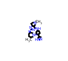 CC1CC/C(=N/c2nc3c(c(Nc4ccc(-c5cn[nH]c5)cc4)n2)CN(C)CC3)CNC1